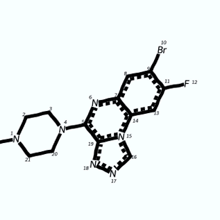 CN1CCN(c2nc3cc(Br)c(F)cc3n3cnnc23)CC1